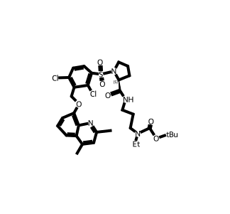 CCN(CCCNC(=O)[C@@H]1CCCN1S(=O)(=O)c1ccc(Cl)c(COc2cccc3c(C)cc(C)nc23)c1Cl)C(=O)OC(C)(C)C